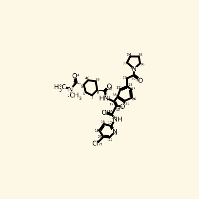 CN(C)C(=O)[C@H]1CC[C@H](C(=O)Nc2c(C(=O)Nc3ccc(Cl)cn3)oc3ccc(CC(=O)N4CCCC4)cc23)CC1